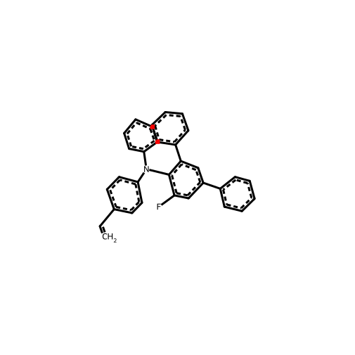 C=Cc1ccc(N(c2ccccc2)c2c(F)cc(-c3ccccc3)cc2-c2ccccc2)cc1